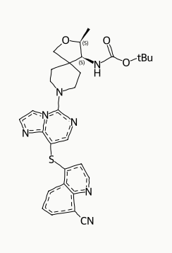 C[C@@H]1OCC2(CCN(c3ncc(Sc4ccnc5c(C#N)cccc45)c4nccn34)CC2)[C@@H]1NC(=O)OC(C)(C)C